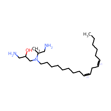 CCCCC/C=C\C/C=C\CCCCCCCCN(CC(O)CN)C(C)CN